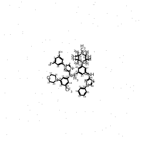 Fc1cc(F)cc(-n2cnc(Nc3cc(N4CCOCC4)cc(C(F)(F)F)c3)n2)c1.[2H]C1([2H])N(C)C([2H])([2H])C([2H])([2H])N(c2cc(C)cc(Nc3ncn(-c4ccccc4)n3)c2)C1([2H])[2H]